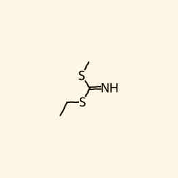 CCSC(=N)SC